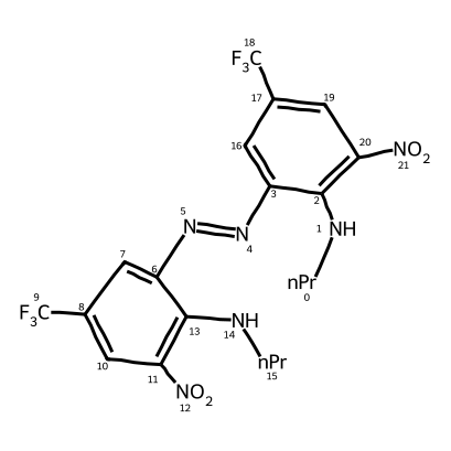 CCCNc1c(N=Nc2cc(C(F)(F)F)cc([N+](=O)[O-])c2NCCC)cc(C(F)(F)F)cc1[N+](=O)[O-]